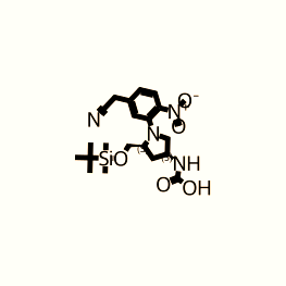 CC(C)(C)[Si](C)(C)OC[C@@H]1C[C@H](NC(=O)O)CN1c1cc(CC#N)ccc1[N+](=O)[O-]